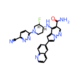 N#Cc1ccc(N2CC[C@@H](Nc3c(C(N)=O)cnn4cc(-c5ccc6ncccc6c5)cc34)[C@H](F)C2)nn1